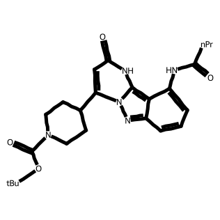 CCCC(=O)Nc1cccc2nn3c(C4CCN(C(=O)OC(C)(C)C)CC4)cc(=O)[nH]c3c12